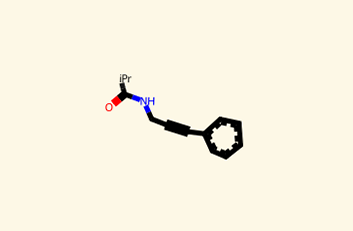 CC(C)C(=O)NCC#Cc1ccccc1